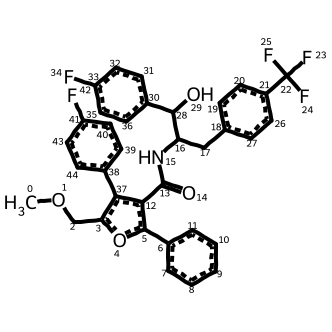 COCc1oc(-c2ccccc2)c(C(=O)NC(Cc2ccc(C(F)(F)F)cc2)C(O)c2ccc(F)cc2)c1-c1ccc(F)cc1